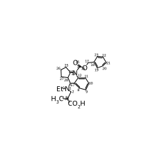 CCN(C[C@H](C)C(=O)O)C1c2ccccc2N(C(=O)OCc2ccccc2)C2CCCC12